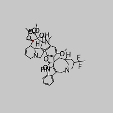 CC[C@]12C=CCN3CC[C@@]4(c5cc([C@@]6(C(=O)OC)C[C@@H]7CC(C(C)(F)F)C[N@](Cc8c6[nH]c6ccccc86)C7)c(OC)cc5N(C)[C@H]4[C@@](O)(C(=O)OC)[C@@H]1OC(C)=O)[C@@H]32